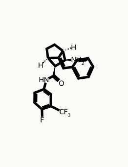 N[C@H]1[C@@H](C(=O)Nc2ccc(F)c(C(F)(F)F)c2)[C@H]2CC[C@@H]1C2=Cc1ccccc1